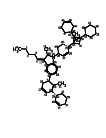 CCCC/C=C1/c2cc(C3CC=CC([C@H]4C=CCCC4)C3C)ccc2N(C2C=C[C@@H](C34CC(C5CCCCC5)(C3C)C4C3CC=CCC3)CC2)C1C